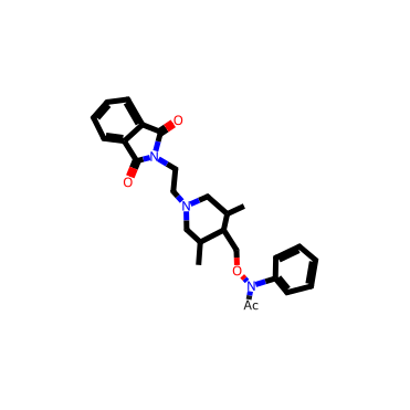 CC(=O)N(OCC1C(C)CN(CCN2C(=O)c3ccccc3C2=O)CC1C)c1ccccc1